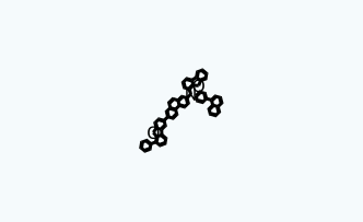 c1ccc(-c2cccc3c2oc2ccc(-c4ccc5c(ccc6cc(N(c7ccc(-c8cccc9ccccc89)cc7)c7cccc8c7oc7ccccc78)ccc65)c4)cc23)cc1